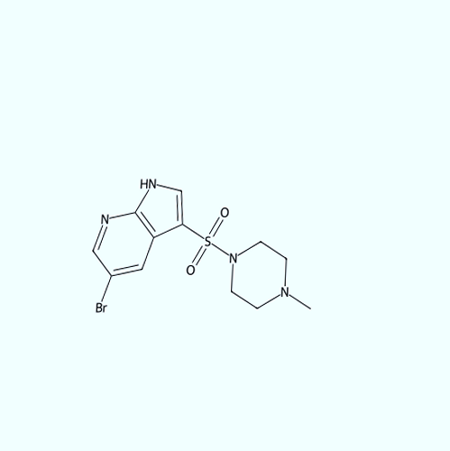 CN1CCN(S(=O)(=O)c2c[nH]c3ncc(Br)cc23)CC1